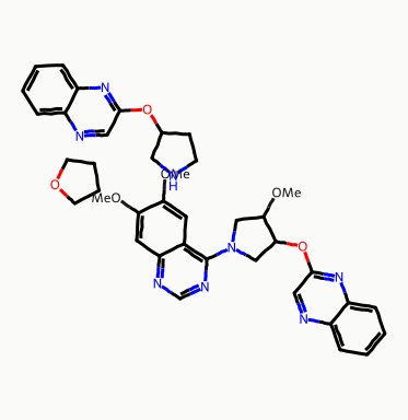 C1CCOC1.COc1cc2ncnc(N3CC(OC)C(Oc4cnc5ccccc5n4)C3)c2cc1OC.c1ccc2nc(OC3CCNC3)cnc2c1